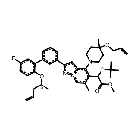 C=CCOC1(C)CCN(c2c(C(OC(C)(C)C)C(=O)OC)c(C)cn3nc(-c4cccc(-c5cc(F)ccc5O[C@@H](C)CC=C)c4)cc23)CC1